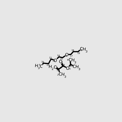 C=C(C)C(=O)OC(C)C.CCCCOCCOCCCC